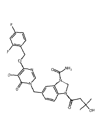 CC(C)(O)CC(=O)N1CN(C(N)=O)c2cc(Cn3cnc(OCc4ccc(F)cc4F)c(Cl)c3=O)ccc21